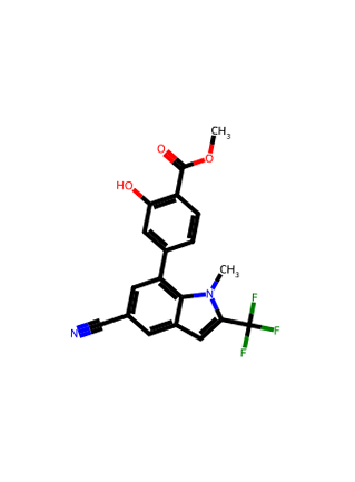 COC(=O)c1ccc(-c2cc(C#N)cc3cc(C(F)(F)F)n(C)c23)cc1O